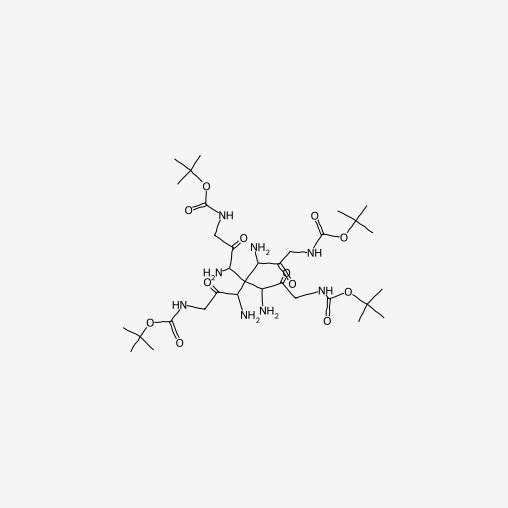 CC(C)(C)OC(=O)NCC(=O)C(N)C(C(N)C(=O)CNC(=O)OC(C)(C)C)(C(N)C(=O)CNC(=O)OC(C)(C)C)C(N)C(=O)CNC(=O)OC(C)(C)C